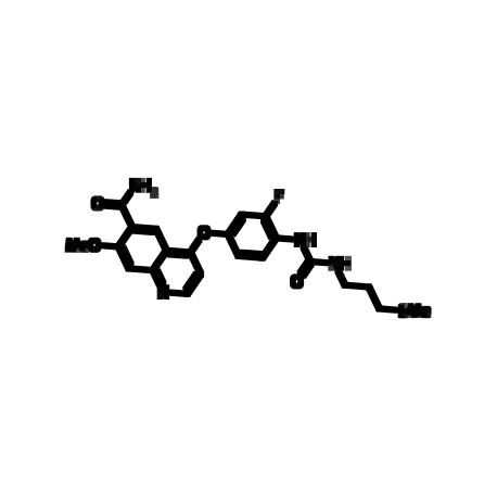 COc1cc2nccc(Oc3ccc(NC(=O)NCCCSC)c(F)c3)c2cc1C(N)=O